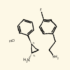 Cl.NCCc1ccc(F)cc1.N[C@H]1C[C@@H]1c1ccccc1